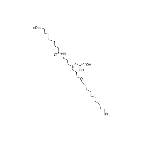 CCCCCCCCCCCCCCCCCC(=O)NCCCN(CCCOCCCCCCCCCCC(C)C)CC(O)CO